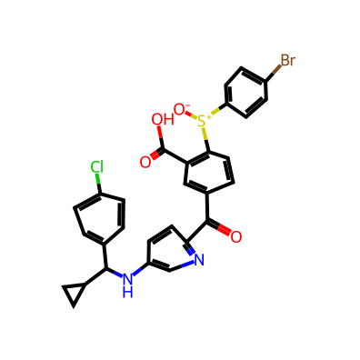 O=C(c1ccc([S+]([O-])c2ccc(Br)cc2)c(C(=O)O)c1)c1ccc(NC(c2ccc(Cl)cc2)C2CC2)cn1